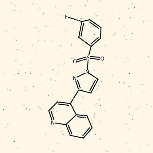 O=S(=O)(c1cccc(F)c1)n1ccc(-c2ccnc3ccccc23)n1